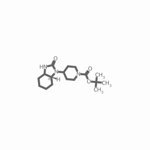 CC(C)(C)OC(=O)N1CCC(N2C(=O)NC3CCCC[C@H]32)CC1